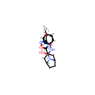 CCc1noc(C2CC3CCC(C2)N3C(O)Nc2ccc(C(F)(F)F)cc2)n1